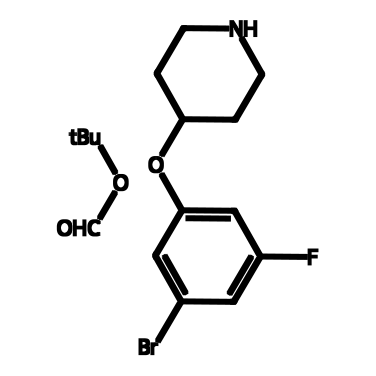 CC(C)(C)OC=O.Fc1cc(Br)cc(OC2CCNCC2)c1